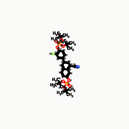 CC(C)(C)OP(=O)(Oc1ccc2cc(-c3ccc(OP(=O)(OC(C)(C)C)OC(C)(C)C)c(F)c3)cc(C#N)c2c1)OC(C)(C)C